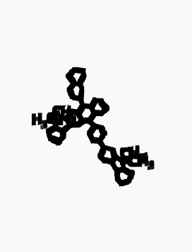 CC1(C)c2ccccc2-c2ccc(-c3ccc(-c4c5ccccc5c(-c5ccc6ccccc6c5)c5cc6c(cc45)-c4ccccc4[Si]6(C)C)cc3)cc21